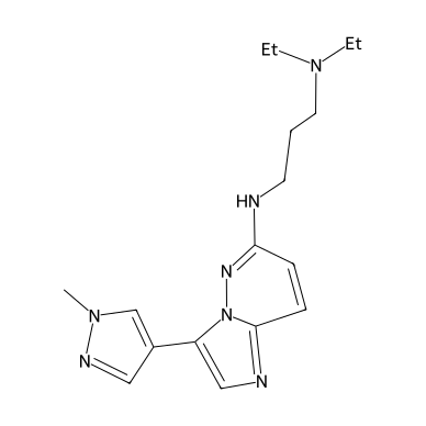 CCN(CC)CCCNc1ccc2ncc(-c3cnn(C)c3)n2n1